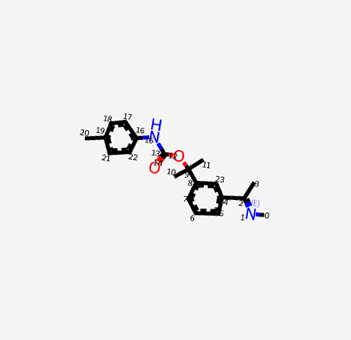 C/N=C(\C)c1cccc(C(C)(C)OC(=O)Nc2ccc(C)cc2)c1